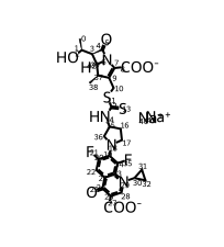 C[C@H](O)[C@H]1C(=O)N2C(C(=O)[O-])=C(CSC(=S)NC3CCN(c4c(F)cc5c(=O)c(C(=O)[O-])cn(C6CC6)c5c4F)C3)[C@@H](C)[C@@H]12.[Na+].[Na+]